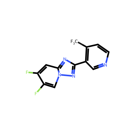 Fc1cc2nc(-c3cnccc3C(F)(F)F)nn2cc1F